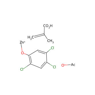 C=C(C)C(=O)O.CC(=O)[O-].Clc1cc(Cl)c([O][Zn+])cc1Cl